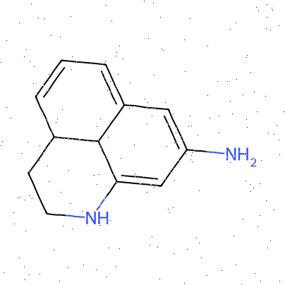 NC1=CC2=CC=CC3CCNC(=C1)C23